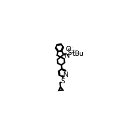 CC(C)(C)[S+]([O-])/N=C1\c2ccccc2CC12CCC(c1ccc(SCC3CC3)nc1)CC2